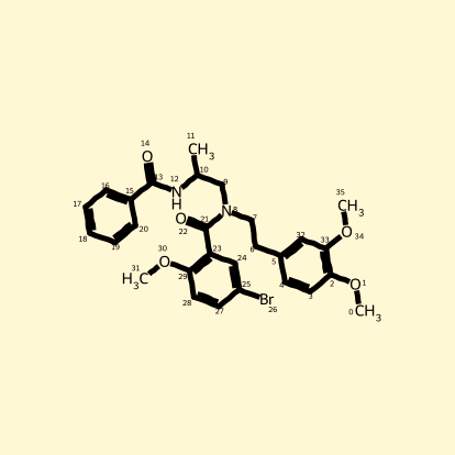 COc1ccc(CCN(CC(C)NC(=O)c2ccccc2)C(=O)c2cc(Br)ccc2OC)cc1OC